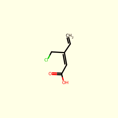 C=CC(=CC(=O)O)CCl